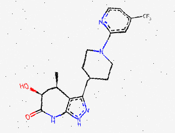 C[C@H]1c2c(C3CCN(c4cc(C(F)(F)F)ccn4)CC3)n[nH]c2NC(=O)[C@H]1O